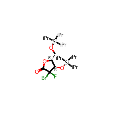 CC(C)[Si](OC[C@H]1OC(=O)[C@@](F)(Br)[C@@H]1O[Si](C(C)C)(C(C)C)C(C)C)(C(C)C)C(C)C